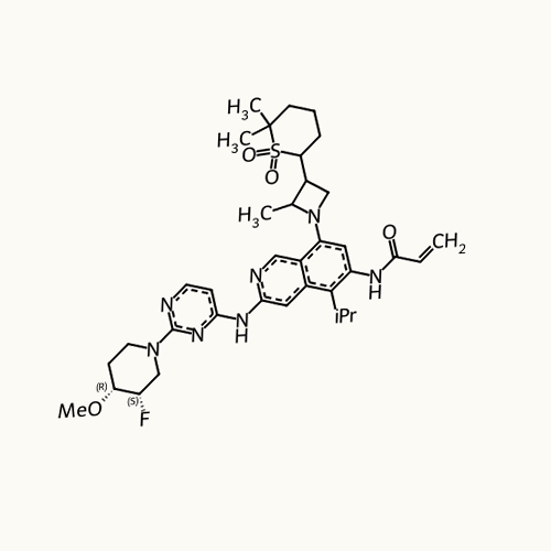 C=CC(=O)Nc1cc(N2CC(C3CCCC(C)(C)S3(=O)=O)C2C)c2cnc(Nc3ccnc(N4CC[C@@H](OC)[C@@H](F)C4)n3)cc2c1C(C)C